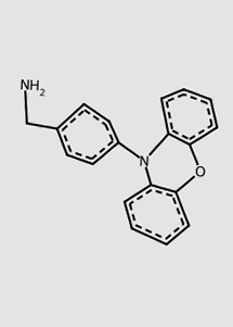 NCc1ccc(N2c3ccccc3Oc3ccccc32)cc1